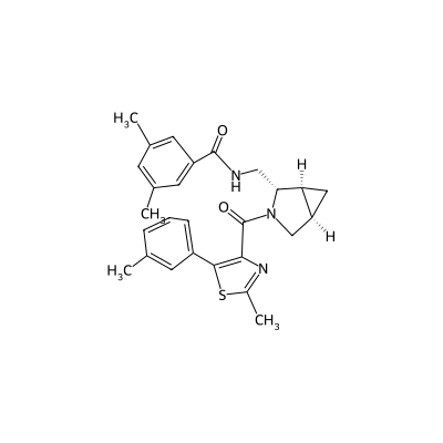 Cc1cc(C)cc(C(=O)NC[C@@H]2[C@H]3C[C@H]3CN2C(=O)c2nc(C)sc2-c2cccc(C)c2)c1